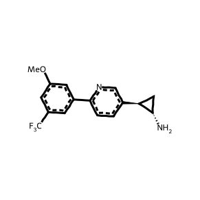 COc1cc(-c2ccc([C@H]3C[C@@H]3N)cn2)cc(C(F)(F)F)c1